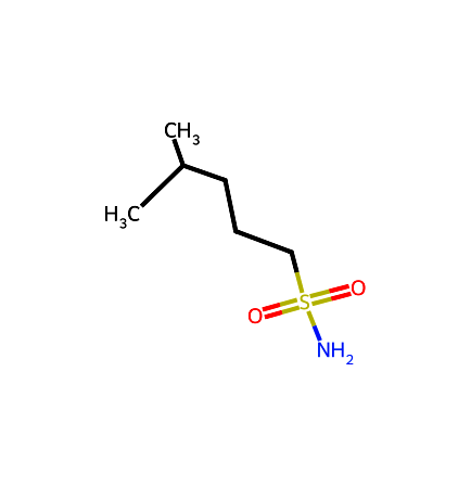 CC(C)CCCS(N)(=O)=O